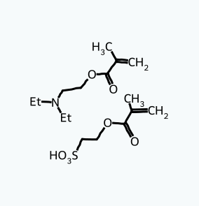 C=C(C)C(=O)OCCN(CC)CC.C=C(C)C(=O)OCCS(=O)(=O)O